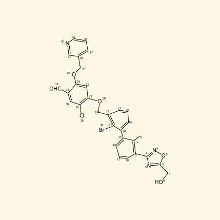 Cc1c(-c2noc(CO)n2)cccc1-c1cccc(COc2cc(OCc3cccnc3)c(C=O)cc2Cl)c1Br